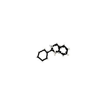 [c]1nc(C2CCCCC2)nc2ccccc12